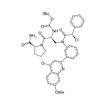 COc1ccc2c(O[C@@H]3C[C@@H](C(N)=O)N(C(=O)[C@H](CN(C)C(=O)[C@H](Cl)c4ccccc4)NC(=O)OC(C)(C)C)C3)cc(-c3ccccc3)nc2c1